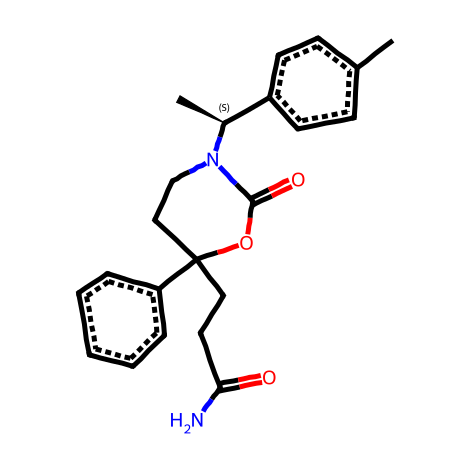 Cc1ccc([C@H](C)N2CCC(CCC(N)=O)(c3ccccc3)OC2=O)cc1